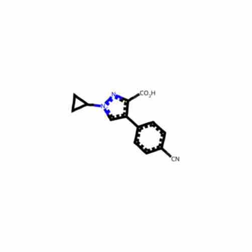 N#Cc1ccc(-c2cn(C3CC3)nc2C(=O)O)cc1